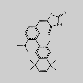 Cc1cc2c(cc1-c1cc(C=C3SC(=O)NC3=O)ccc1N(C)C)C(C)(C)C=CC2(C)C